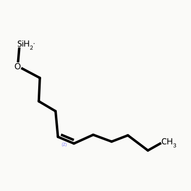 CCCCC/C=C\CCCO[SiH2]